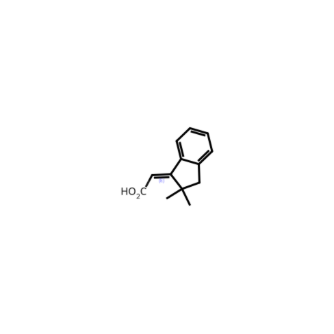 CC1(C)Cc2ccccc2/C1=C/C(=O)O